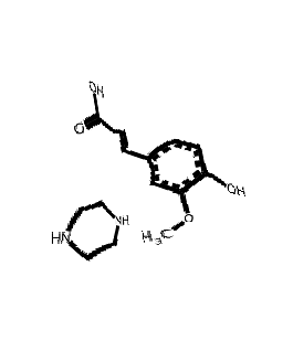 C1CNCCN1.COc1cc(C=CC(=O)O)ccc1O